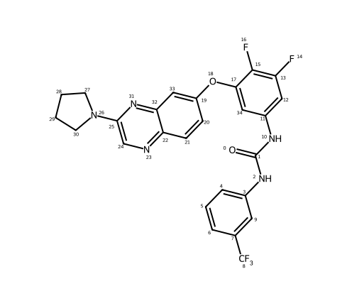 O=C(Nc1cccc(C(F)(F)F)c1)Nc1cc(F)c(F)c(Oc2ccc3ncc(N4CCCC4)nc3c2)c1